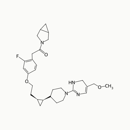 COCC1=CN=C(N2CCC([C@H]3C[C@H]3CCOc3ccc(CC(=O)N4CC5CC5C4)c(F)c3)CC2)NC1